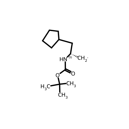 [CH2][C@@H](CC1CCCC1)NC(=O)OC(C)(C)C